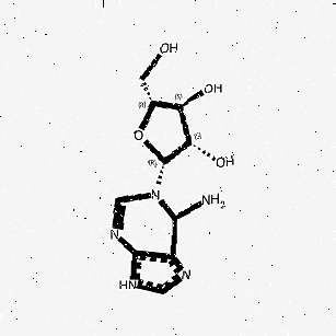 NC1c2nc[nH]c2N=CN1[C@@H]1O[C@H](CO)[C@@H](O)[C@@H]1O